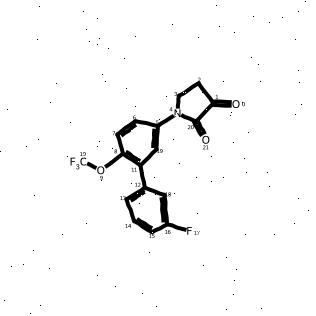 O=C1CCN(c2ccc(OC(F)(F)F)c(-c3cccc(F)c3)c2)C1=O